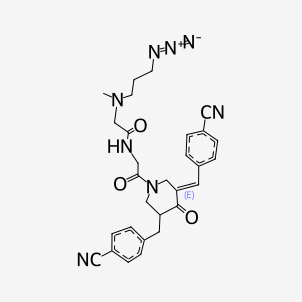 CN(CCCN=[N+]=[N-])CC(=O)NCC(=O)N1C/C(=C\c2ccc(C#N)cc2)C(=O)C(Cc2ccc(C#N)cc2)C1